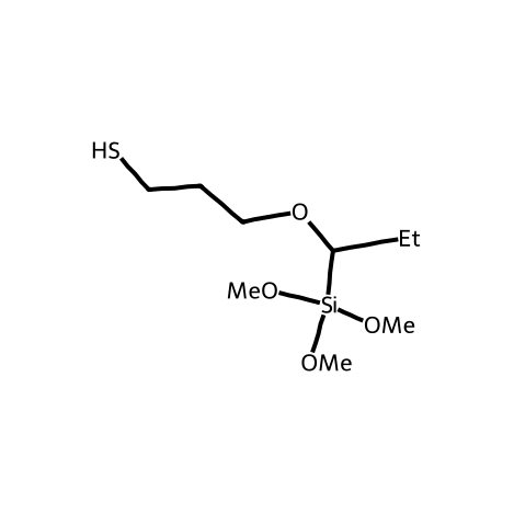 CCC(OCCCS)[Si](OC)(OC)OC